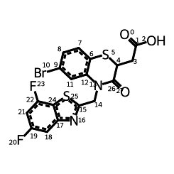 O=C(O)CC1Sc2ccc(Br)cc2N(Cc2nc3cc(F)cc(F)c3s2)C1=O